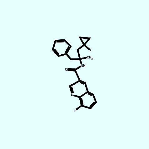 CC(Cc1ccccc1)(CC1(F)CC1)NC(=O)c1cnc2c(F)cccc2c1